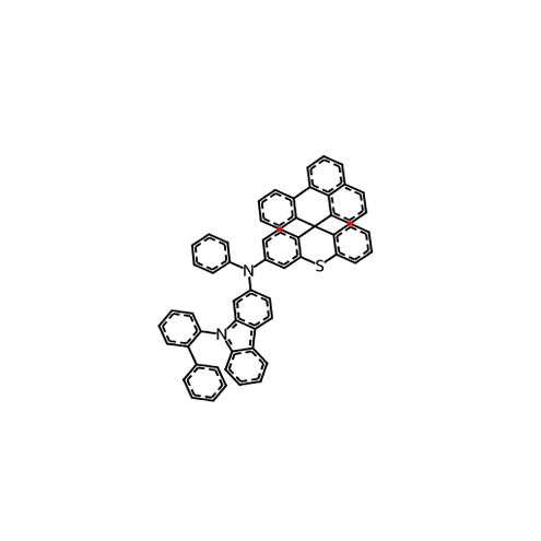 c1ccc(-c2ccccc2-n2c3ccccc3c3ccc(N(c4ccccc4)c4ccc5c(c4)Sc4ccccc4C54c5ccccc5-c5cccc6cccc4c56)cc32)cc1